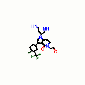 N=C/C=C(\C=N)n1cc(-c2ccc(F)c(C(F)(F)F)c2)c2c(=O)n(CC=O)ccc21